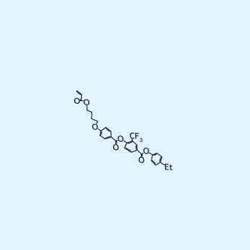 C=CC(=O)OCCCCOc1ccc(C(=O)Oc2ccc(C(=O)Oc3ccc(CC)cc3)cc2C(F)(F)F)cc1